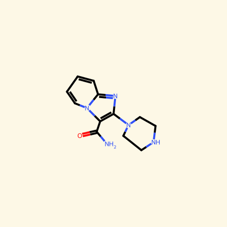 NC(=O)c1c(N2CCNCC2)nc2ccccn12